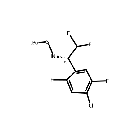 CC(C)(C)SN[C@@H](c1cc(F)c(Cl)cc1F)C(F)F